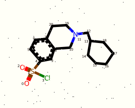 O=S(=O)(Cl)c1ccc2c(c1)CN(CC1CCCCC1)CC2